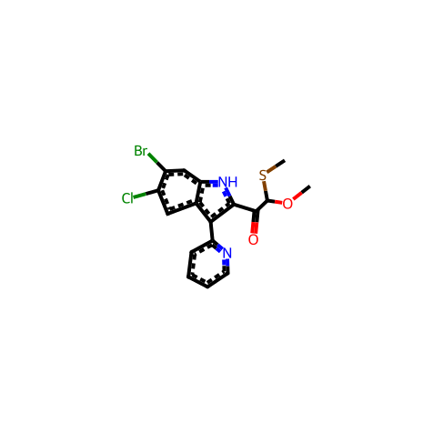 COC(SC)C(=O)c1[nH]c2cc(Br)c(Cl)cc2c1-c1ccccn1